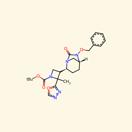 CC(C)(C)OC(=O)N1CC([C@@H]2CC[C@@H]3CN2C(=O)N3OCc2ccccc2)C1(C)c1nnco1